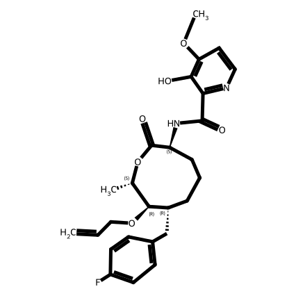 C=CCO[C@@H]1[C@@H](Cc2ccc(F)cc2)CCC[C@H](NC(=O)c2nccc(OC)c2O)C(=O)O[C@H]1C